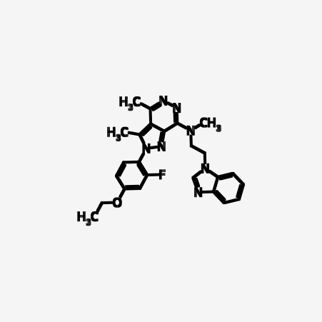 CCOc1ccc(-n2nc3c(N(C)CCn4cnc5ccccc54)nnc(C)c3c2C)c(F)c1